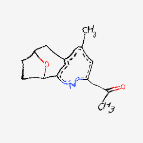 CC(=O)c1cc(C)c2c(n1)C1CCC(C2)O1